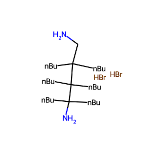 Br.Br.CCCCC(N)(CCCC)C(CCCC)(CCCC)C(CN)(CCCC)CCCC